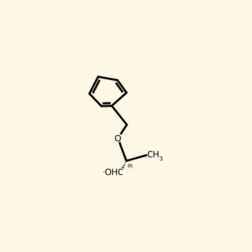 C[C@H]([C]=O)OCc1ccccc1